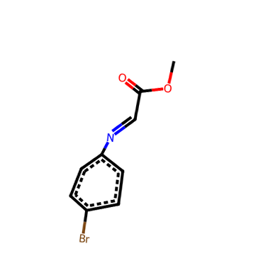 COC(=O)C=Nc1ccc(Br)cc1